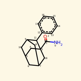 NC(=O)C12CC3CC(CC(C3)C1c1ccccc1)C2